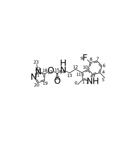 Cc1[nH]c2c(C)ccc(F)c2c1CCNC(=O)Oc1ccnn1C